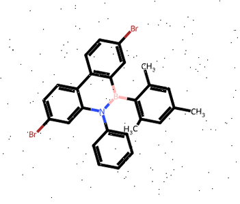 Cc1cc(C)c(B2c3cc(Br)ccc3-c3ccc(Br)cc3N2c2ccccc2)c(C)c1